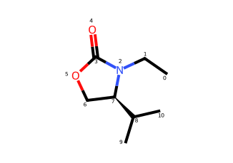 CCN1C(=O)OC[C@@H]1C(C)C